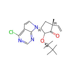 C=C[C@@]1(C)C[C@@H](n2ccc3c(Cl)ncnc32)C(O[Si](C)(C)C(C)(C)C)C1=O